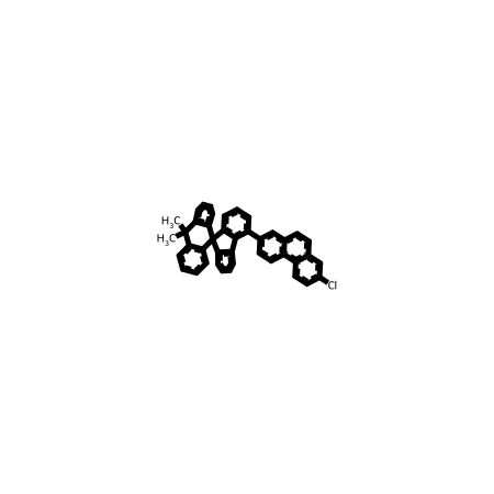 CC1(C)c2ccccc2C2(c3ccccc3-c3c(-c4ccc5c(ccc6cc(Cl)ccc65)c4)cccc32)c2ccccc21